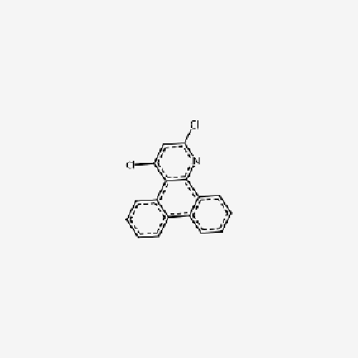 Clc1cc(Cl)c2c3ccccc3c3ccccc3c2n1